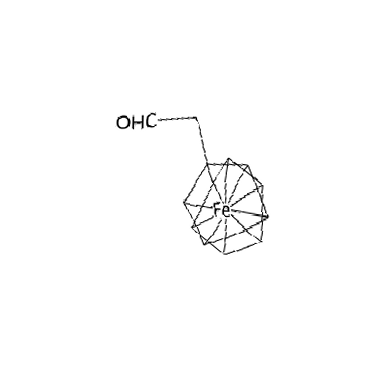 O=CC[C]12[CH]3[CH]4[CH]5[CH]1[Fe]45321678[CH]2[CH]1[CH]6[CH]7[CH]28